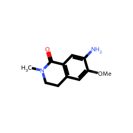 COc1cc2c(cc1N)C(=O)N(C)CC2